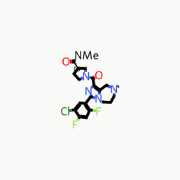 CNC(=O)[C@@H]1CCN(C(=O)c2nc(-c3cc(Cl)c(F)cc3F)n3c2CN(C)CCC3)C1